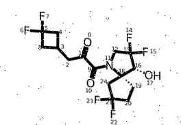 O=C(CC1CC(F)(F)C1)C(=O)N1CC(F)(F)[C@H](O)[C@]12CCC(F)(F)C2